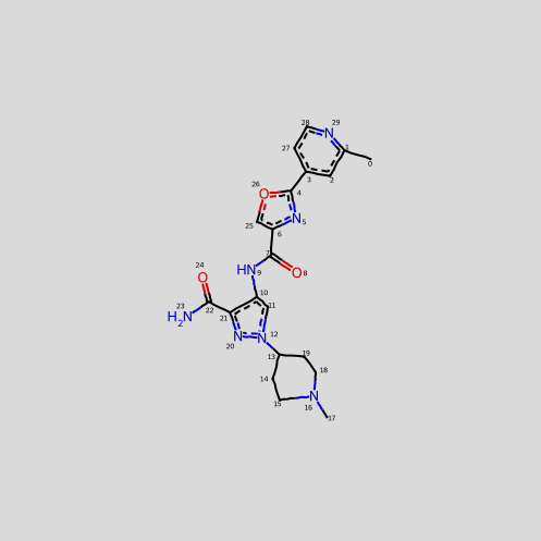 Cc1cc(-c2nc(C(=O)Nc3cn(C4CCN(C)CC4)nc3C(N)=O)co2)ccn1